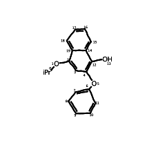 CC(C)Oc1cc(Oc2ccccc2)c(O)c2ccccc12